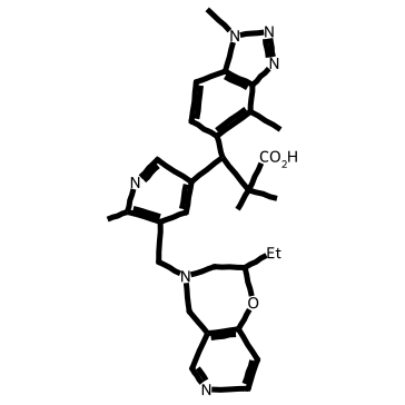 CCC1CN(Cc2cc(C(c3ccc4c(nnn4C)c3C)C(C)(C)C(=O)O)cnc2C)Cc2cnccc2O1